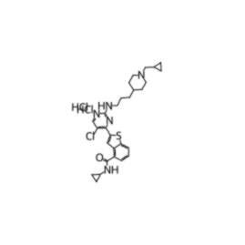 Cl.Cl.O=C(NC1CC1)c1cccc2sc(-c3nc(NCCCC4CCN(CC5CC5)CC4)ncc3Cl)cc12